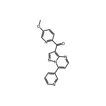 COc1ccc(C(=O)c2cnn3c(-c4cccnc4)ccnc23)nc1